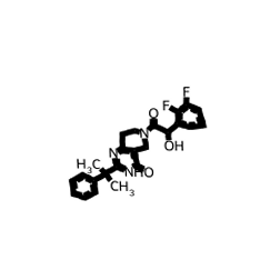 CC(C)(c1ccccc1)c1nc2c(c(=O)[nH]1)CN(C(=O)C(O)c1cccc(F)c1F)CC2